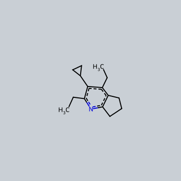 CCc1nc2c(c(CC)c1C1CC1)CCC2